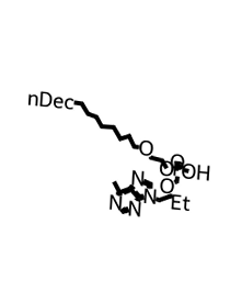 CCCCCCCCCCCCCCCCCCOCCOP(=O)(O)CO[C@H](CC)Cn1cnc2c(C)ncnc21